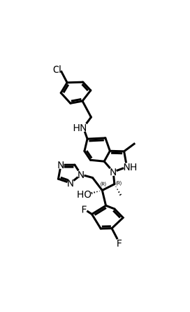 CC1=C2C=C(NCc3ccc(Cl)cc3)C=CC2N([C@H](C)[C@](O)(Cn2cncn2)c2ccc(F)cc2F)N1